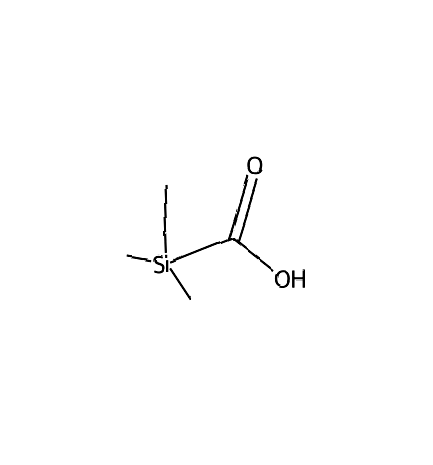 C[Si](C)(C)C(=O)O